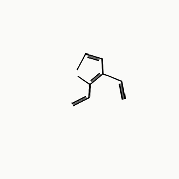 C=Cc1ccsc1C=C